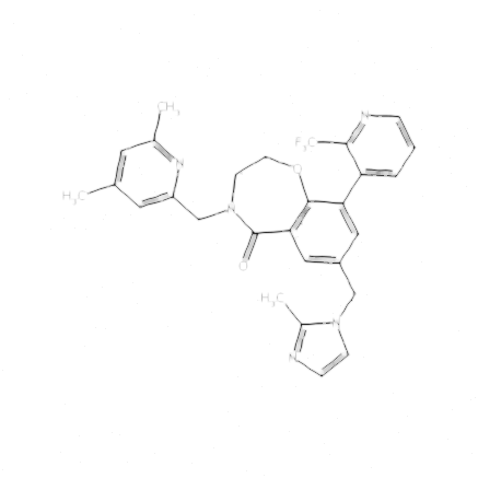 Cc1cc(C)nc(CN2CCOc3c(cc(Cn4ccnc4C)cc3-c3cccnc3C(F)(F)F)C2=O)c1